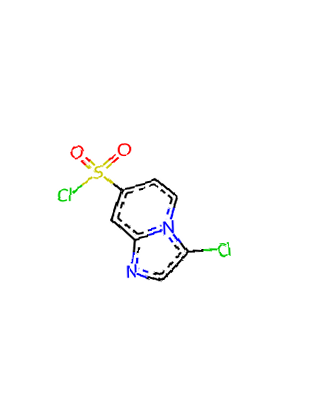 O=S(=O)(Cl)c1ccn2c(Cl)cnc2c1